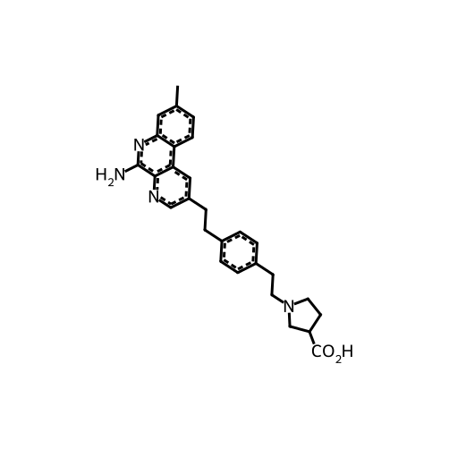 Cc1ccc2c(c1)nc(N)c1ncc(CCc3ccc(CCN4CCC(C(=O)O)C4)cc3)cc12